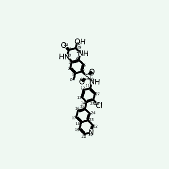 Cc1cc2c(cc1S(=O)(=O)Nc1ccc(-c3ccc4ccncc4c3)c(Cl)c1)NC(O)C(=O)N2